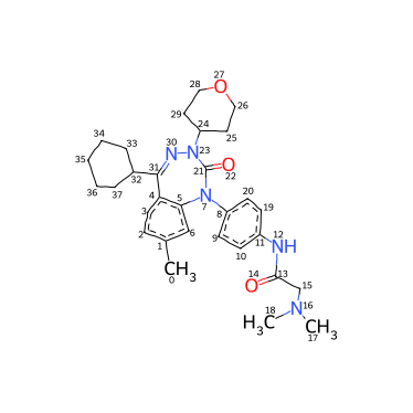 Cc1ccc2c(c1)N(c1ccc(NC(=O)CN(C)C)cc1)C(=O)N(C1CCOCC1)N=C2C1CCCCC1